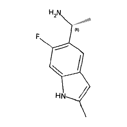 Cc1cc2cc([C@@H](C)N)c(F)cc2[nH]1